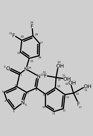 O=c1c2cccnc2c(-c2cccc(C(O)(O)F)c2C(O)(O)F)nn1-c1ccc(F)c(F)c1